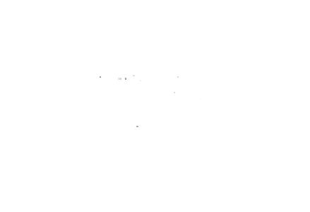 CNC(=O)c1ccc(-c2nc3sc4cc(C(N)=O)ccc4n3c2CCCn2nc(C)cc2C)cc1